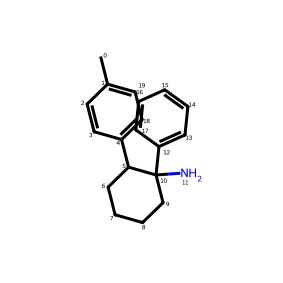 Cc1ccc(C2CCCCC2(N)c2ccccc2)cc1